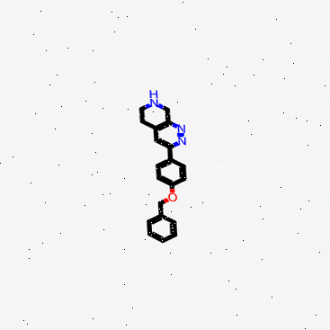 c1ccc(COc2ccc(-c3cc4c(nn3)CNCC4)cc2)cc1